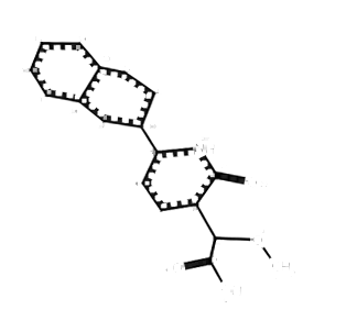 COC(C(=O)O)c1ccc(-c2ccc3ccccc3c2)[nH]c1=O